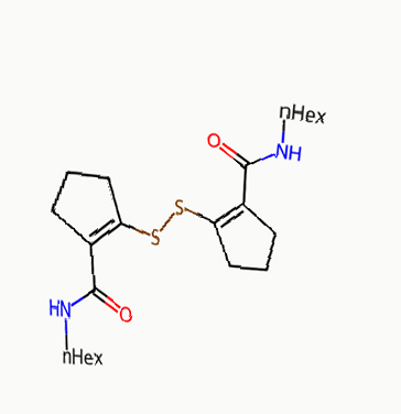 CCCCCCNC(=O)C1=C(SSC2=C(C(=O)NCCCCCC)CCC2)CCC1